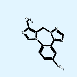 Cc1ncn2c1Cn1ncnc1-c1cc([N+](=O)[O-])ccc1-2